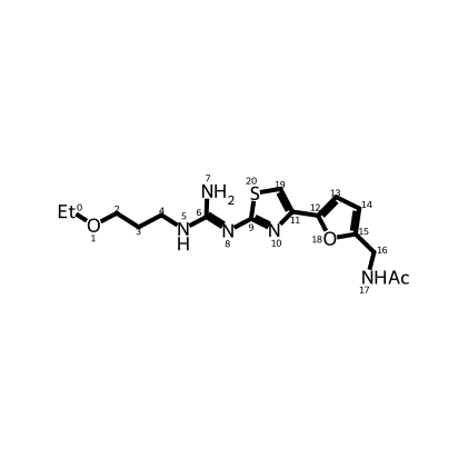 CCOCCCN/C(N)=N/c1nc(-c2ccc(CNC(C)=O)o2)cs1